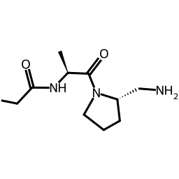 CCC(=O)N[C@@H](C)C(=O)N1CCC[C@H]1CN